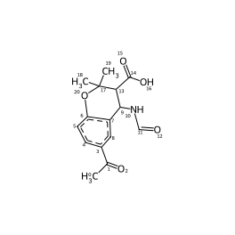 CC(=O)c1ccc2c(c1)C(NC=O)C(C(=O)O)C(C)(C)O2